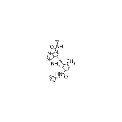 Cc1ccc(C(=O)NCc2ccsc2)cc1C#Cc1cn(C(=O)NC2CC2)c2ncnc(N)c12